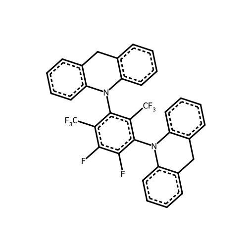 Fc1c(F)c(C(F)(F)F)c(N2c3ccccc3Cc3ccccc32)c(C(F)(F)F)c1N1c2ccccc2Cc2ccccc21